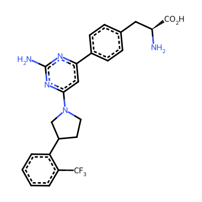 Nc1nc(-c2ccc(C[C@H](N)C(=O)O)cc2)cc(N2CCC(c3ccccc3C(F)(F)F)C2)n1